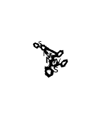 c1ccc(-c2nc(-c3nc4cc5c(cc4c4ccccc34)sc3ccccc35)nc3c2sc2ccccc23)cc1